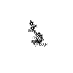 CCCc1c(OCCCOc2cc(O)c(-c3ccc(F)cc3)cc2CC)ccc2c1OC(C(=O)NCC(C(=O)O)C(C)NC(=O)OC(C)(C)C)CC2